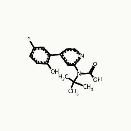 CC(C)(C)N(C(=O)O)c1cc(-c2cc(F)ccc2O)ccn1